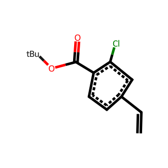 C=Cc1ccc(C(=O)OC(C)(C)C)c(Cl)c1